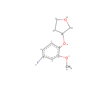 COc1cc(I)ccc1OC1CCOC1